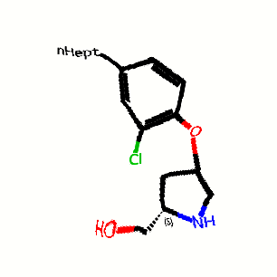 CCCCCCCc1ccc(OC2CN[C@H](CO)C2)c(Cl)c1